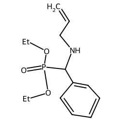 C=CCNC(c1ccccc1)P(=O)(OCC)OCC